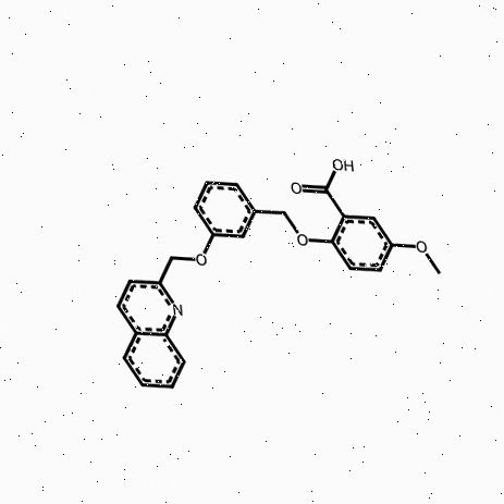 COc1ccc(OCc2cccc(OCc3ccc4ccccc4n3)c2)c(C(=O)O)c1